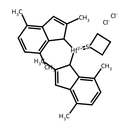 CC1=Cc2c(C)ccc(C)c2[CH]1[Hf+2]([CH]1C(C)=Cc2c(C)ccc(C)c21)=[Si]1CCC1.[Cl-].[Cl-]